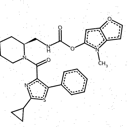 Cn1c(OC(=O)NC[C@@H]2CCCCN2C(=O)c2nc(C3CC3)sc2-c2ccccc2)cc2occc21